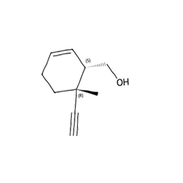 C#C[C@]1(C)CCC=C[C@@H]1CO